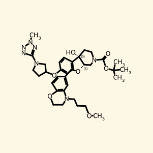 COCCCN1CCOc2ccc(CO[C@H]3CN(C(=O)OC(C)(C)C)CC[C@]3(O)c3ccc(OC4CCN(c5nnn(C)n5)C4)cc3)cc21